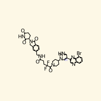 N=C/C(=C\NC1CCN(C(=O)C(F)(F)CCC(=O)NCc2ccc3c(c2)CN(C2CCC(=O)NC2=O)C3=O)CC1)c1cnc2cccc(Br)c2n1